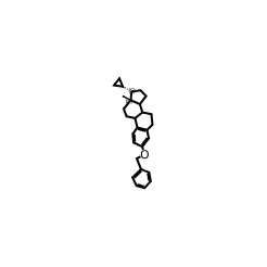 C[C@]12CCC3c4ccc(OCc5ccccc5)cc4CCC3C1CC[C@H]2C1CC1